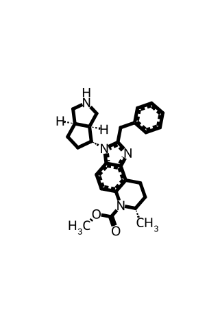 COC(=O)N1c2ccc3c(nc(Cc4ccccc4)n3[C@@H]3CC[C@H]4CNC[C@H]43)c2CC[C@@H]1C